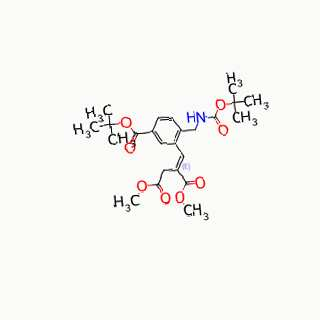 COC(=O)C/C(=C\c1cc(C(=O)OC(C)(C)C)ccc1CNC(=O)OC(C)(C)C)C(=O)OC